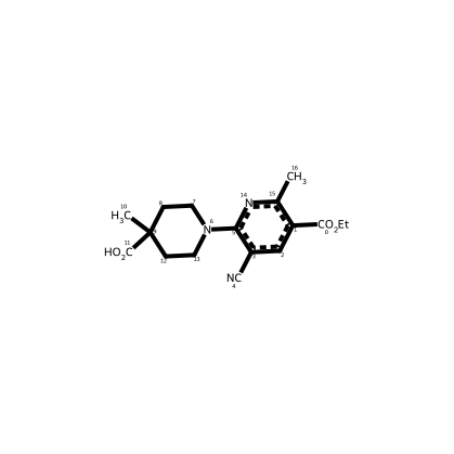 CCOC(=O)c1cc(C#N)c(N2CCC(C)(C(=O)O)CC2)nc1C